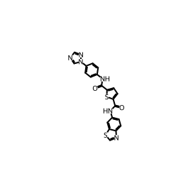 O=C(Nc1ccc(-n2cncn2)cc1)c1ccc(C(=O)Nc2ccc3ncsc3c2)s1